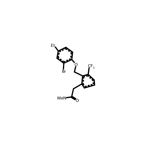 CCc1ccc(OCc2c(CC(=O)NC)cccc2C(F)(F)F)c(Br)c1